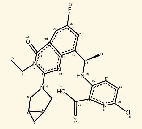 CCn1c(N2CC3CC3C2)nc2c([C@@H](C)Nc3ccc(Cl)nc3C(=O)O)cc(F)cc2c1=O